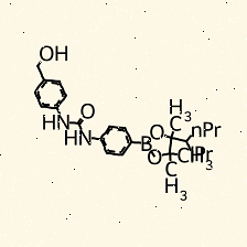 CCCC(C(C)C)C1(C)OB(c2ccc(NC(=O)Nc3ccc(CO)cc3)cc2)OC1(C)C